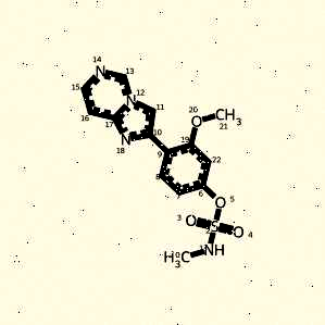 CNS(=O)(=O)Oc1ccc(-c2cn3cnccc3n2)c(OC)c1